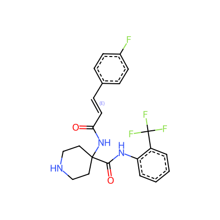 O=C(/C=C/c1ccc(F)cc1)NC1(C(=O)Nc2ccccc2C(F)(F)F)CCNCC1